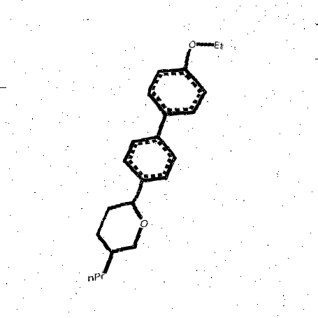 CCCC1CCC(c2ccc(-c3ccc(OCC)cc3)cc2)OC1